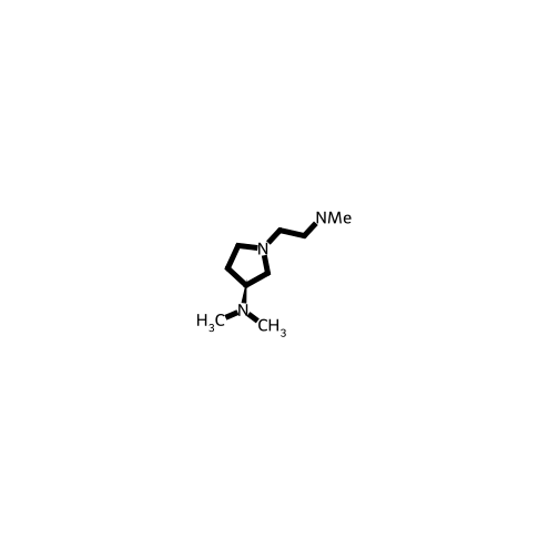 CNCCN1CC[C@H](N(C)C)C1